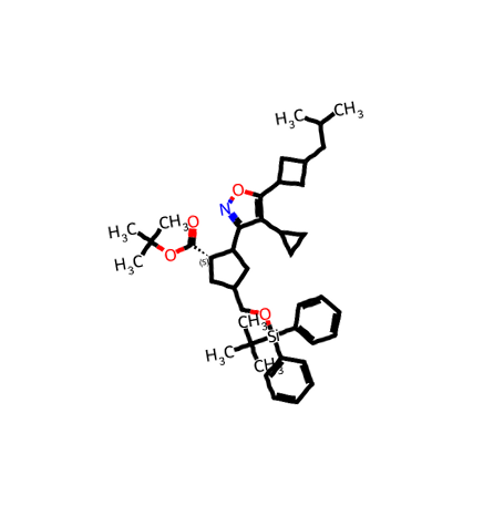 CC(C)CC1CC(c2onc(C3CC(CO[Si](c4ccccc4)(c4ccccc4)C(C)(C)C)C[C@@H]3C(=O)OC(C)(C)C)c2C2CC2)C1